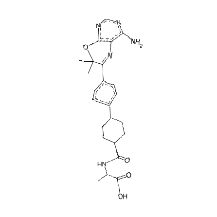 CC(NC(=O)C1CCC(c2ccc(C3=Nc4c(N)ncnc4OC3(C)C)cc2)CC1)C(=O)O